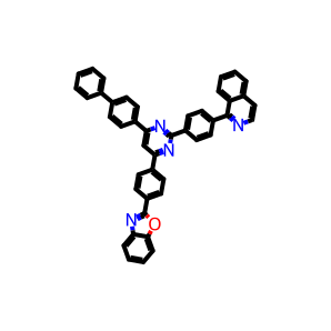 c1ccc(-c2ccc(-c3cc(-c4ccc(-c5nc6ccccc6o5)cc4)nc(-c4ccc(-c5nccc6ccccc56)cc4)n3)cc2)cc1